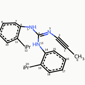 CC#CN=C(Nc1ccccc1C(C)C)Nc1ccccc1C(C)C